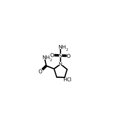 Cl.NC(=O)C1CCCN1S(N)(=O)=O